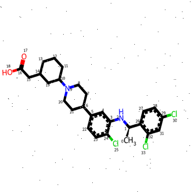 C[C@@H](Nc1cc(C2CCN(C3CCCC(CC(=O)O)C3)CC2)ccc1Cl)c1ccc(Cl)cc1Cl